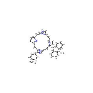 C1=Cc2cc3ccc(cc4nc(cc5ccc(cc1n2)[nH]5)C=C4)[nH]3.[Fe].[SiH4].c1ccc2c(c1)Cc1ccccc1-2.c1ccccc1